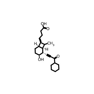 CC1C(=CCCC(=O)O)[C@@H]2CC[C@H](O)[C@@H](C#CC(=O)C3CCCCC3)[C@H]12